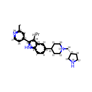 Cc1cc(-c2[nH]c3ccc(C4CCN(C[C@@H]5CCNC5)CC4)cc3c2C(C)C)ccn1